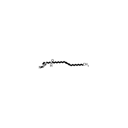 CCCCCCCCCCC#CC#CCCCCCCCCC(=O)NCCCn1cc[n+](CC#N)c1